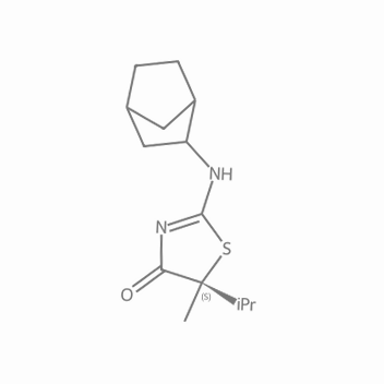 CC(C)[C@]1(C)SC(NC2CC3CCC2C3)=NC1=O